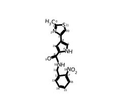 Cc1nc(-c2c[nH]c(C(=O)NCc3ccccc3[N+](=O)[O-])c2)cs1